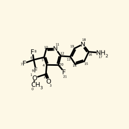 COC(=O)c1c(C(F)(F)F)cnc(-c2ccc(N)nc2)c1F